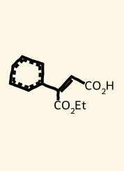 CCOC(=O)C(=CC(=O)O)c1ccccc1